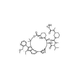 CCn1c(-c2cccnc2[C@H](C)OC)c2c3cc(ccc31)-c1csc(n1)C[C@H](NC(=O)C(C(C)C)N(C)C(=O)N1CCC[C@H](N(C)C(=O)[C@H]3CN3)C1)C(=O)N1CCC[C@H](N1)C(=O)OCC(C)(C)C2